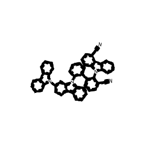 N#Cc1cccc(-c2ccccc2-n2c3ccccc3c3ccc(-n4c5ccccc5c5ccccc54)cc32)c1-n1c2ccccc2c2c(C#N)cccc21